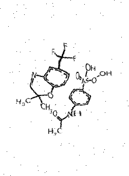 CC(=O)Nc1ccc([As](=O)(O)OO)cc1.CC1(C)C=Nc2cc(C(F)(F)F)ccc2O1